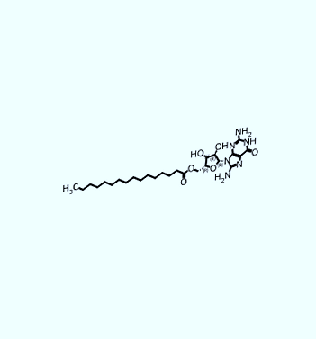 CCCCCCCCCCCCCCCC(=O)OC[C@H]1O[C@@H](n2c(N)nc3c(=O)[nH]c(N)nc32)[C@H](O)[C@@H]1O